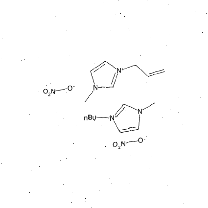 C=CC[n+]1ccn(C)c1.CCCC[n+]1ccn(C)c1.O=[N+]([O-])[O-].O=[N+]([O-])[O-]